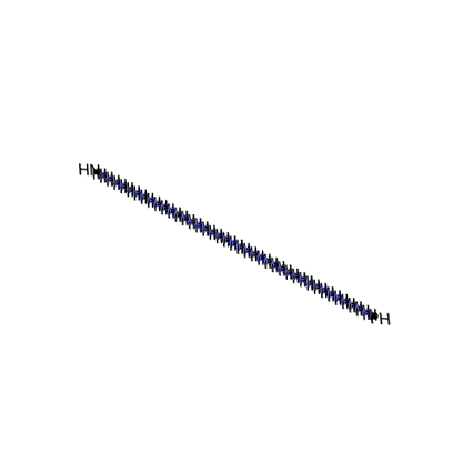 N=N/N=N/N=N/N=N/N=N/N=N/N=N/N=N/N=N/N=N/N=N/N=N/N=N/N=N/N=N/N=N/N=N/N=N/N=N/N=N/N=N/N=N/N=N/N=N/N=N/N=N/N=N/N=N/N=N/N=N/N=N/N=N/N=N/N=N/N=N/N=N/N=N/N=N/N=N/N=N/N=P